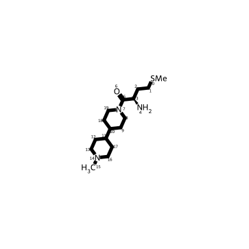 CSCC[C@@H](N)C(=O)N1CCC(C2CCN(C)CC2)CC1